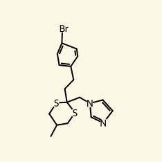 CC1CSC(CCc2ccc(Br)cc2)(Cn2ccnc2)SC1